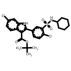 CC(C)(C)OC(=O)c1c(-c2ccc(Cl)c(S(=O)(=O)NC3CCCCC3)c2)[nH]c2cc(Cl)ccc12